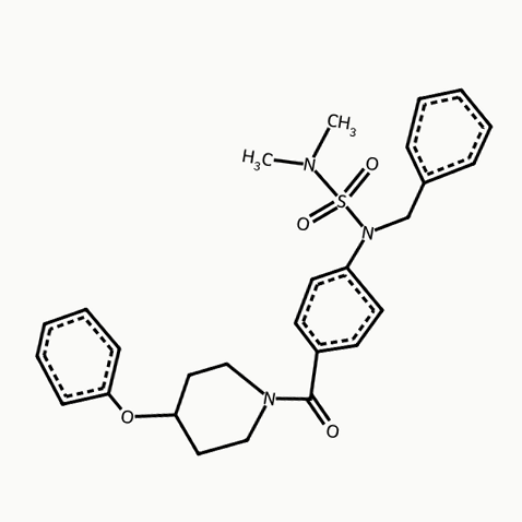 CN(C)S(=O)(=O)N(Cc1ccccc1)c1ccc(C(=O)N2CCC(Oc3ccccc3)CC2)cc1